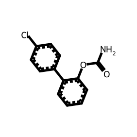 NC(=O)Oc1ccccc1-c1ccc(Cl)cc1